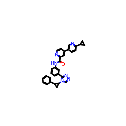 O=C(Nc1cccc(-c2nncn2C2CC2c2ccccc2)c1)c1cc(-c2ccc(C3CC3)nc2)ccn1